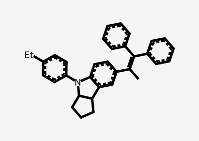 CCc1ccc(N2c3ccc(C(C)=C(c4ccccc4)c4ccccc4)cc3C3CCCC32)cc1